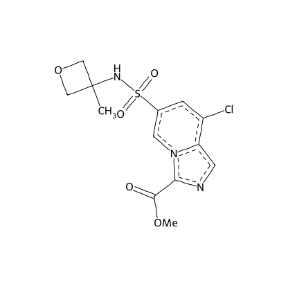 COC(=O)c1ncc2c(Cl)cc(S(=O)(=O)NC3(C)COC3)cn12